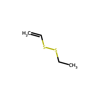 C=CSSCC